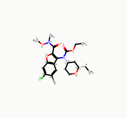 CCOC(=O)N(c1c(C(=O)N(C)OC)oc2cc(Cl)c(Br)cc12)[C@H]1CCO[C@@H](CC)C1